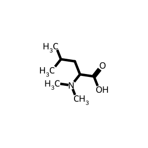 CC(C)CC(C(=O)O)N(C)C